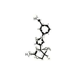 C#Cc1cccc(-n2cc([C@@]3(C)N=C(N)OCC3(F)F)cn2)c1